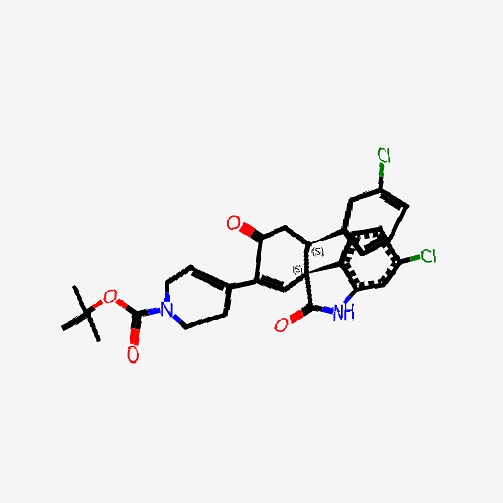 CC(C)(C)OC(=O)N1CC=C(C2=C[C@@]3(C(=O)Nc4cc(Cl)ccc43)[C@H](C3C=CC=C(Cl)C3)CC2=O)CC1